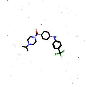 CC(C)N1CCN(C(=O)[C@H]2CC[C@@H](Nc3ccc(C(F)(F)F)cc3)CC2)CC1